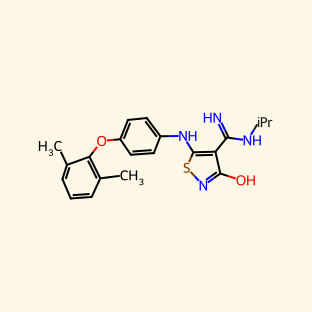 Cc1cccc(C)c1Oc1ccc(Nc2snc(O)c2C(=N)NC(C)C)cc1